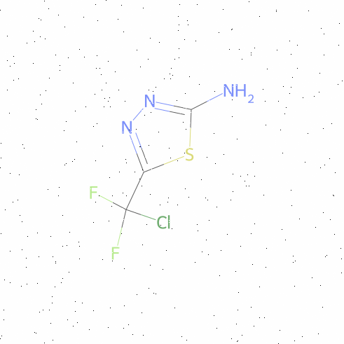 Nc1nnc(C(F)(F)Cl)s1